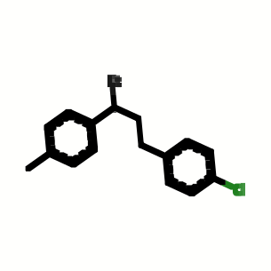 CC[C](CCc1ccc(Cl)cc1)c1ccc(C)cc1